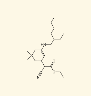 CCCCC(CC)CNC1=CC(C(C#N)C(=O)OCC)CC(C)(C)C1